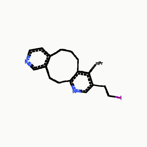 CCCc1c(CCI)cnc2c1CCCc1ccncc1CC2